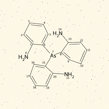 Nc1ccccc1[As](c1ccccc1N)c1ccccc1N